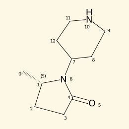 C[C@H]1CCC(=O)N1C1CCNCC1